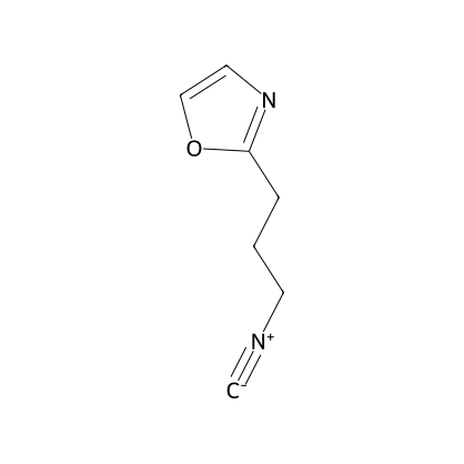 [C-]#[N+]CCCc1ncco1